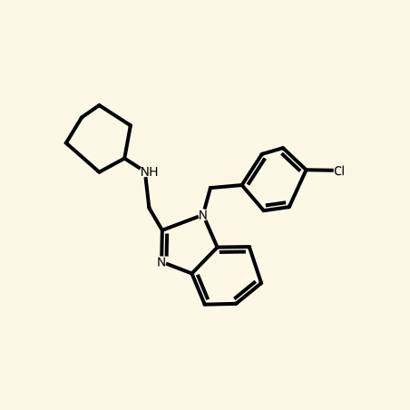 Clc1ccc(Cn2c(CNC3CCCCC3)nc3ccccc32)cc1